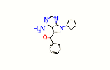 Nc1ncnc2c1c(C(=O)c1c[c]ccc1)cn2C1CCCC1